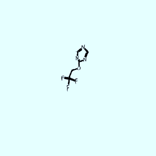 FC(F)(F)COc1n[c]ncn1